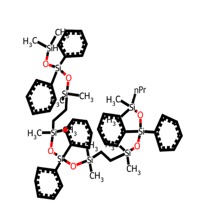 CCC[Si](C)(C)O[Si](O[Si](C)(C)CC[Si](C)(C)O[Si](O[Si](C)(C)CC[Si](C)(C)O[Si](O[SiH](C)C)(c1ccccc1)c1ccccc1)(c1ccccc1)c1ccccc1)(c1ccccc1)c1ccccc1